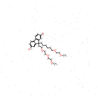 COCCOCCCCCCC1(CCOCCOCCOC)c2cc(Br)ccc2-c2ccc(Br)cc21